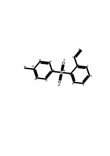 C=Cc1ccccc1S(=O)(=O)c1ccc(C)cc1